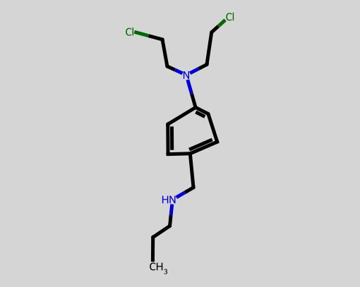 CCCNCc1ccc(N(CCCl)CCCl)cc1